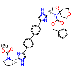 CC(C)(C)OC(=O)N1CCC[C@H]1c1nc(-c2ccc(-c3ccc(-c4c[nH]c([C@@H]5COC6(CCOCC6)N5C(=O)OCc5ccccc5)n4)cc3)cc2)c[nH]1